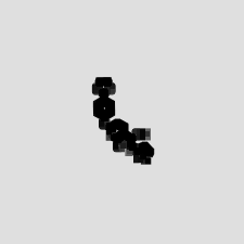 OC(Cn1ccnn1)c1ccc(Oc2ccc(C3OCCO3)cc2)nc1C(F)(F)F